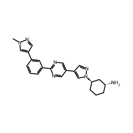 Cn1cc(-c2cccc(-c3ncc(-c4cnn([C@@H]5CCC[C@@H](N)C5)c4)cn3)c2)cn1